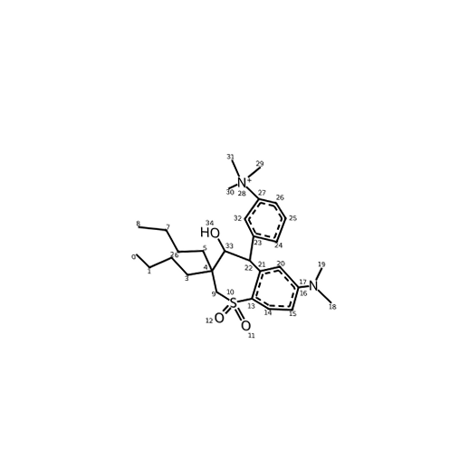 CCCCC1(CCCC)CS(=O)(=O)c2ccc(N(C)C)cc2C(c2cccc([N+](C)(C)C)c2)C1O